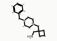 NCC1(CN2CCN(Cc3ccccc3)CC2)CCC1